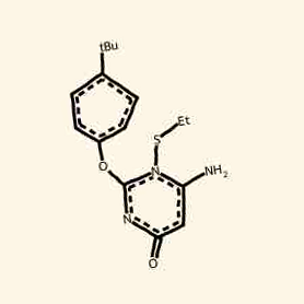 CCSn1c(N)cc(=O)nc1Oc1ccc(C(C)(C)C)cc1